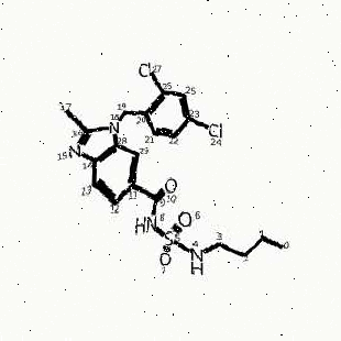 CCCCNS(=O)(=O)NC(=O)c1ccc2nc(C)n(Cc3ccc(Cl)cc3Cl)c2c1